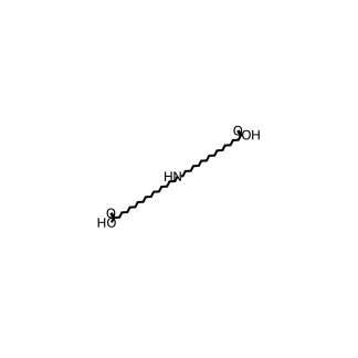 O=C(O)CCCCCCCCCCCCCCCNCCCCCCCCCCCCCCCC(=O)O